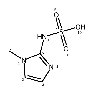 Cn1ccnc1NS(=O)(=O)O